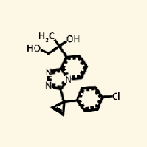 CC(O)(CO)c1cccn2c(C3(c4ccc(Cl)cc4)C=C3)nnc12